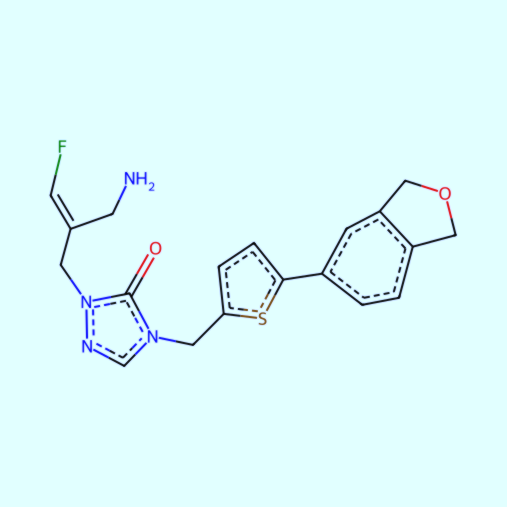 NC/C(=C\F)Cn1ncn(Cc2ccc(-c3ccc4c(c3)COC4)s2)c1=O